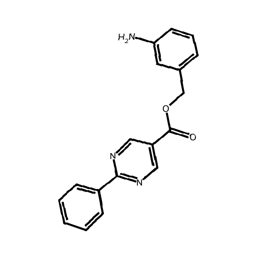 Nc1cccc(COC(=O)c2cnc(-c3ccccc3)nc2)c1